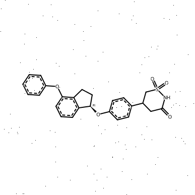 O=C1CC(c2ccc(O[C@@H]3CCc4c(Oc5ccccc5)cccc43)cc2)CS(=O)(=O)N1